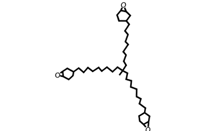 CC(CCCCCCCCCC1CCC2OC2C1)(CCCCCCCCCC1CCC2OC2C1)CCCCCCCCCC1CCC2OC2C1